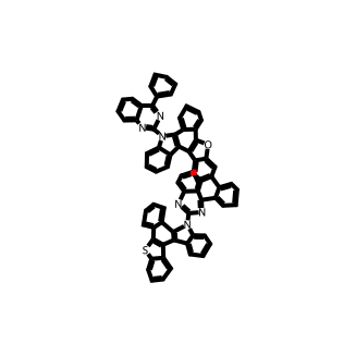 c1ccc(-c2nc(-n3c4ccccc4c4c5c6ccc(-c7ccccc7-c7nc(-n8c9ccccc9c9c%10c%11ccccc%11sc%10c%10ccccc%10c98)nc8ccccc78)cc6oc5c5ccccc5c43)nc3ccccc23)cc1